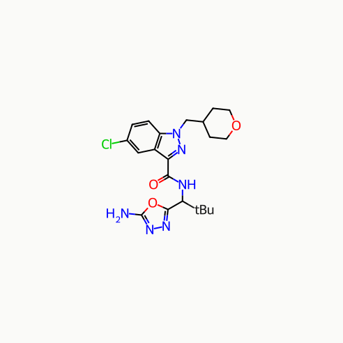 CC(C)(C)C(NC(=O)c1nn(CC2CCOCC2)c2ccc(Cl)cc12)c1nnc(N)o1